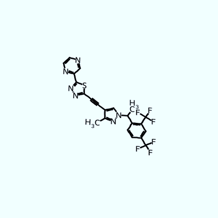 Cc1nn(C(C)c2ccc(C(F)(F)F)cc2C(F)(F)F)cc1C#Cc1nnc(-c2cnccn2)s1